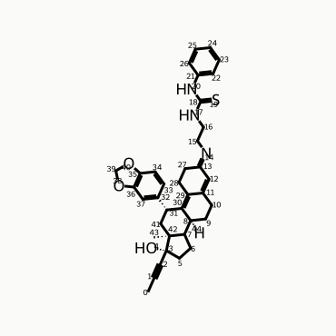 CC#C[C@]1(O)CCC2[C@@H]3CCC4=C/C(=N/CCNC(=S)Nc5ccccc5)CCC4=C3[C@@H](c3ccc4c(c3)OCO4)C[C@@]21C